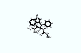 CN(C(=O)OC(C)(C)C)[C@@](C(=O)O)(C(=O)CN)C(c1ccccc1)c1c[nH]c2ccccc12